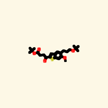 COc1cc2sc(C(=O)CCC(=O)OC(C)(C)C)cc2cc1CCCOC(C)(C)C